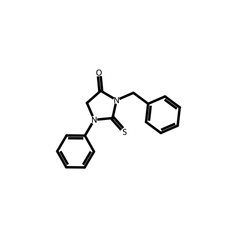 O=C1CN(c2ccccc2)C(=S)N1Cc1ccccc1